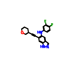 Fc1ccc(Nc2cc3cn[nH]c3cc2C#CC2CCCOC2)cc1F